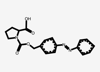 O=C(O)C1CCCN1C(=O)OCc1ccc(N=Nc2ccccc2)cc1